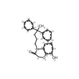 CC(CCCN1C(=O)COc2c(O)cccc21)(c1ccccc1)c1ccccc1